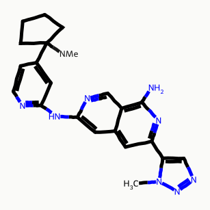 CNC1(c2ccnc(Nc3cc4cc(-c5cnnn5C)nc(N)c4cn3)c2)CCCC1